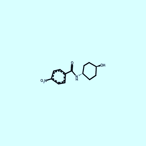 O=C(N[C@H]1CC[C@H](O)CC1)c1ccc([N+](=O)[O-])cc1